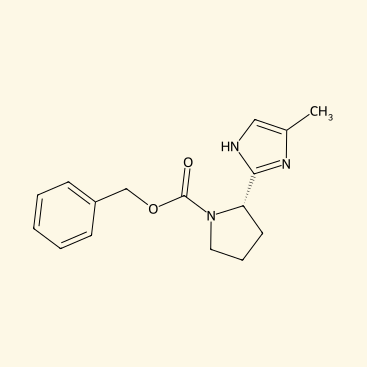 Cc1c[nH]c([C@@H]2CCCN2C(=O)OCc2ccccc2)n1